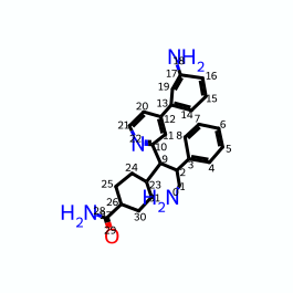 NCC(c1ccccc1)C(c1cc(-c2cccc(N)c2)ccn1)C1CCC(C(N)=O)CC1